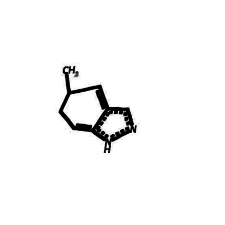 CC1C=c2cn[nH]c2=CC1